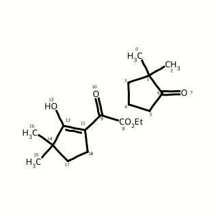 CC1(C)CCCC1=O.CCOC(=O)C(=O)C1=C(O)C(C)(C)CC1